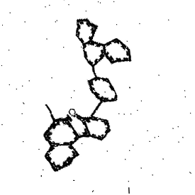 Cc1cc2ccccc2c2c1oc1c(-c3ccc(-c4cc5ccccc5c5ccccc45)cc3)cccc12